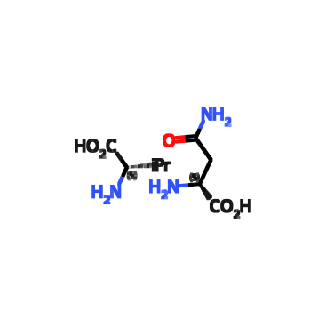 CC(C)[C@H](N)C(=O)O.NC(=O)C[C@H](N)C(=O)O